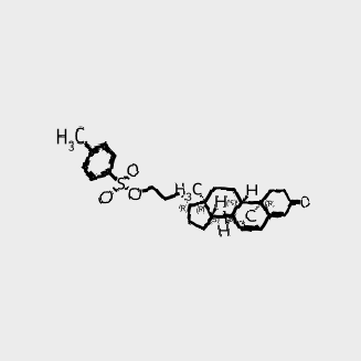 Cc1ccc(S(=O)(=O)OCCC[C@H]2CC[C@H]3[C@@H]4C=CC5=CC(=O)CC[C@]5(C)[C@H]4CC[C@]23C)cc1